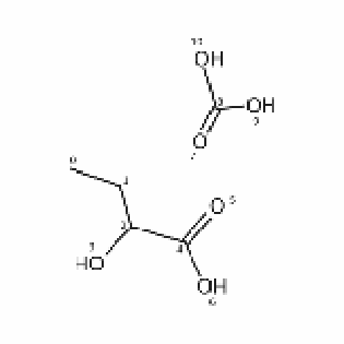 CCC(O)C(=O)O.O=C(O)O